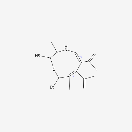 C=C(C)C1=C/NC(C)C(S)CC(CC)/C(C)=C\1C(=C)C